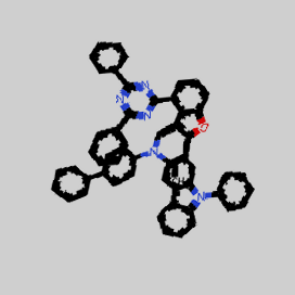 C=C/C=c1/oc2cccc(-c3nc(-c4ccccc4)nc(-c4ccccc4)n3)c2/c1=C/N(c1ccc(-c2ccccc2)cc1)c1ccc2c(c1)c1ccccc1n2-c1ccccc1